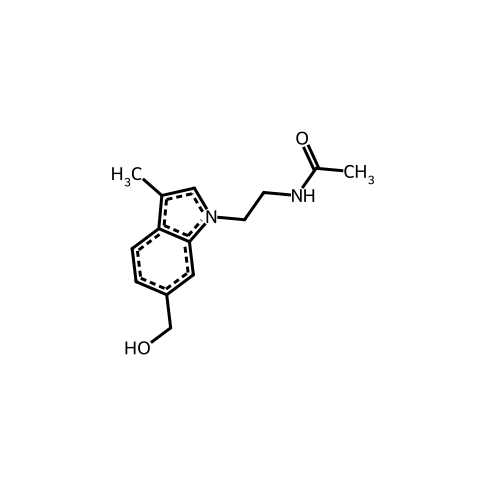 CC(=O)NCCn1cc(C)c2ccc(CO)cc21